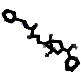 CC(c1ccccn1)N1C[C@@H]2[C@@H](CCNC(=O)/C=C/c3cccnc3)[C@@H]2C1